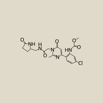 COC(=O)Nc1cc(Cl)ccc1-c1cc(=O)n(CC(=O)NCC2CCC(=O)N2)c(C)n1